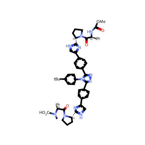 COC(=O)N[C@H](C(=O)N1CCC[C@H]1c1nc(-c2ccc(-c3nnc(-c4ccc(-c5c[nH]c([C@@H]6CCCN6C(=O)[C@H](C(C)C)N(C)C(=O)O)n5)cc4)n3-c3ccc(C(C)(C)C)cc3)cc2)c[nH]1)C(C)C